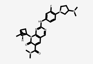 C[C@@H]1C2CC1(n1c(=O)c(C(=O)N(C)C)cc3cnc(Nc4ccc(N5CCC(N(C)C)C5)c(F)c4)nc31)C2